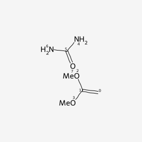 C=C(OC)OC.NC(N)=O